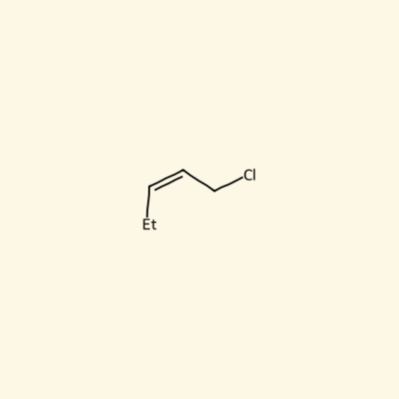 CC/C=C\CCl